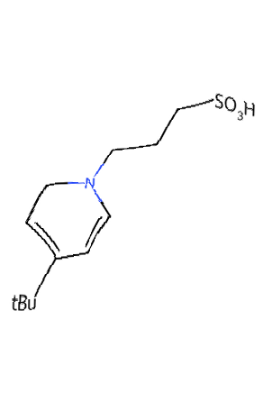 CC(C)(C)C1=CCN(CCCS(=O)(=O)O)C=C1